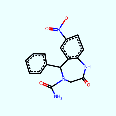 NC(=O)N1CC(=O)Nc2ccc([N+](=O)[O-])cc2C1c1ccccc1